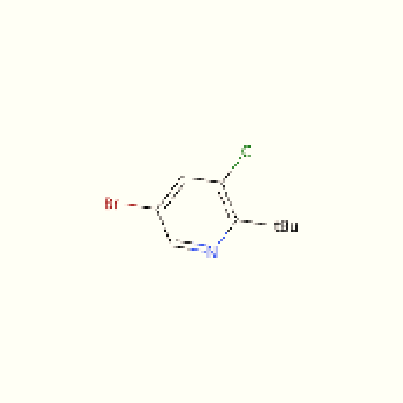 CC(C)(C)c1ncc(Br)cc1Cl